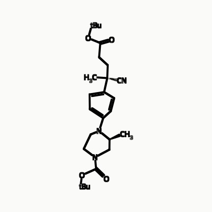 C[C@H]1CN(C(=O)OC(C)(C)C)CCN1c1ccc([C@](C)(C#N)CCC(=O)OC(C)(C)C)cc1